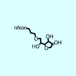 CCCCCCCCCCCCOCC(O)C1OC[C@@H](O)C1O